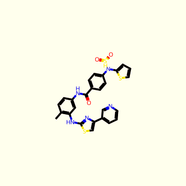 Cc1ccc(NC(=O)c2ccc(N(c3cccs3)[SH](=O)=O)cc2)cc1Nc1nc(-c2cccnc2)cs1